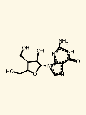 Nc1nc2c(ncn2[C@@H]2OC(CO)[C@@H](CO)[C@H]2O)c(=O)[nH]1